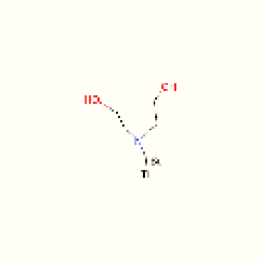 CCCCN(CCO)CCO.[Ti]